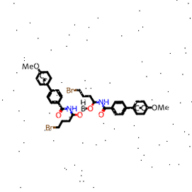 COC12CCC(c3ccc(C(=O)NC(CCCBr)OBOC(CCCBr)NC(=O)c4ccc(C56CCC(OC)(CC5)CC6)cc4)cc3)(CC1)CC2